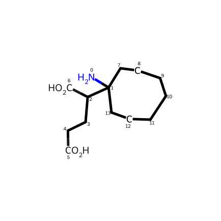 NC1(C(CCC(=O)O)C(=O)O)CCCCCCC1